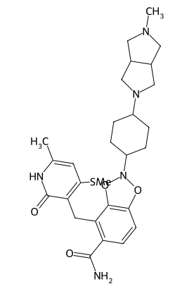 CSc1cc(C)[nH]c(=O)c1Cc1c(C(N)=O)ccc2c1ON(C1CCC(N3CC4CN(C)CC4C3)CC1)O2